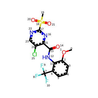 COc1cccc(C(F)(F)F)c1NC(=O)c1nc(S(C)(=O)=O)ncc1Cl